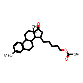 COc1ccc2c(c1)CCC1C2CC[C@]2(C)C(=O)CC(CCCCCOC(=O)C(C)(C)C)C12